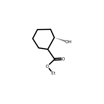 CCOC(=O)C1CCCC[C@@H]1O